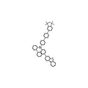 CC1(C)CC(C)(C)c2cc(-c3ccc(-c4ccc(N(c5ccc(-c6ccc7c(c6)sc6ccccc67)cc5)c5ccccc5-c5ccccc5)cc4)cc3)ccc21